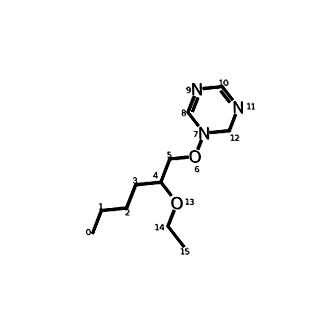 CCCCC(CON1C=NC=NC1)OCC